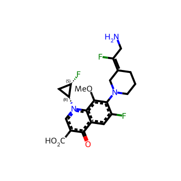 COc1c(N2CCCC(=C(F)CN)C2)c(F)cc2c(=O)c(C(=O)O)cn([C@@H]3C[C@@H]3F)c12